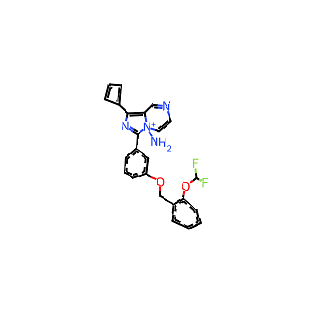 N[N+]12C=CN=CC1=C(C1=CC=C1)N=C2c1cccc(OCc2ccccc2OC(F)F)c1